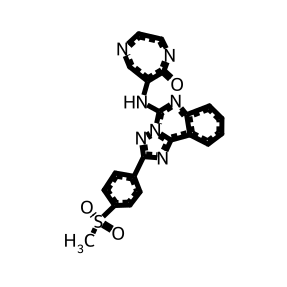 CS(=O)(=O)c1ccc(-c2nc3c4ccccc4nc(Nc4cnccnc4=O)n3n2)cc1